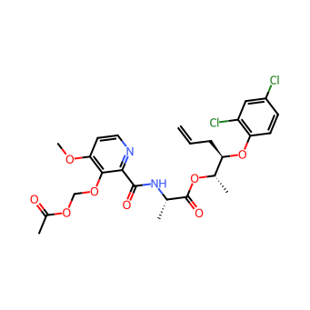 C=CC[C@@H](Oc1ccc(Cl)cc1Cl)[C@H](C)OC(=O)[C@H](C)NC(=O)c1nccc(OC)c1OCOC(C)=O